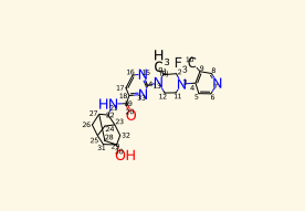 C[C@@H]1CN(c2ccncc2C(F)(F)F)CCN1c1nccc(C(=O)NC2C3CC4CC2CC(O)(C4)C3)n1